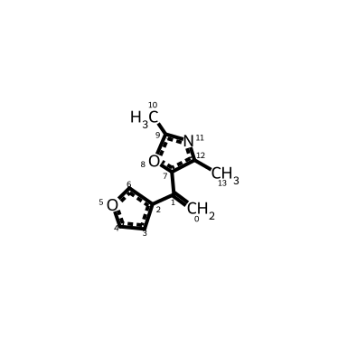 C=C(c1ccoc1)c1oc(C)nc1C